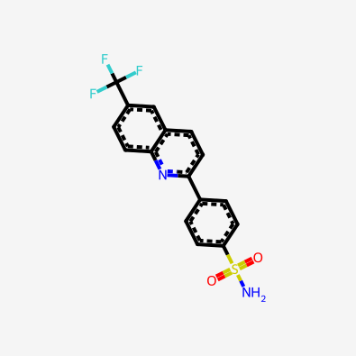 NS(=O)(=O)c1ccc(-c2ccc3cc(C(F)(F)F)ccc3n2)cc1